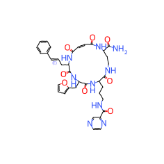 NC(=O)C1CCNC(=O)C(CCCNC(=O)c2cnccn2)NC(=O)C(Cc2ccco2)NC(=O)C(C/C=C/c2ccccc2)NC(=O)C=CC(=O)N1